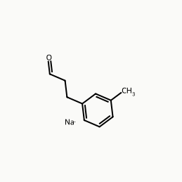 Cc1cccc(CCC=O)c1.[Na]